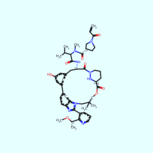 C=CC(=O)N1CC[C@H](C(=O)N(C)C(C(=O)N[C@H]2Cc3cc(O)cc(c3)-c3ccc4nc(-c5cccnc5[C@H](C)OC)n(c4c3)CC(C)(C)COC(=O)[C@@H]3CCCN(N3)C2=O)C(C)C)C1